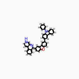 C1=c2nc(-c3ccc4oc5ccc(-c6ccc7c(c6)c6ccccc6n7-c6ccccc6)cc5c4c3)c3ccccc3c2=CCN1